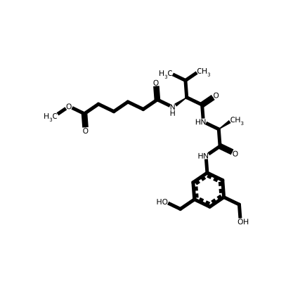 COC(=O)CCCCC(=O)N[C@H](C(=O)N[C@@H](C)C(=O)Nc1cc(CO)cc(CO)c1)C(C)C